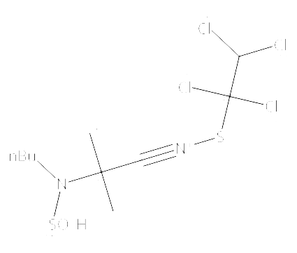 CCCCN(C(C)(C)C#[N+]SC(Cl)(Cl)C(Cl)Cl)S(=O)(=O)O